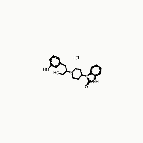 Cl.O=c1[nH]c2ccccc2n1C1CCN(C(CO)Cc2cccc(O)c2)CC1